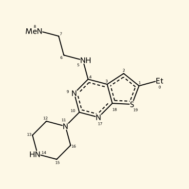 CCc1cc2c(NCCNC)nc(N3CCNCC3)nc2s1